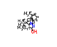 CCc1c(O)nn(-c2cccc(C)c2)c1C(C)(C)C